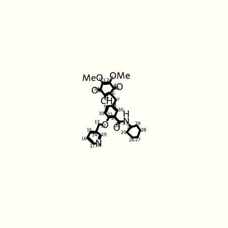 COC1=C(OC)C(=O)C(Cc2ccc(OCc3cccnc3)c(C(=O)NC3CCCCC3)c2)=C(C)C1=O